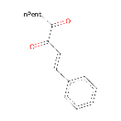 CCCCCC(=O)C(=O)/C=C/c1ccccc1